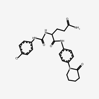 NC(=O)CCC(NC(=O)Nc1ccc(Cl)cc1)C(=O)Nc1ccc(N2CCCCC2=O)cc1